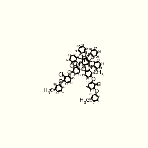 Cc1cccc(Oc2cccc(Oc3cccc(N(c4cc(N(c5ccccc5)c5ccccc5)cc(N(c5cccc(Oc6cccc(Oc7cccc(C)c7)c6Cl)c5)c5c(C)cccc5C)c4Cl)c4c(C)cccc4C)c3)c2Cl)c1